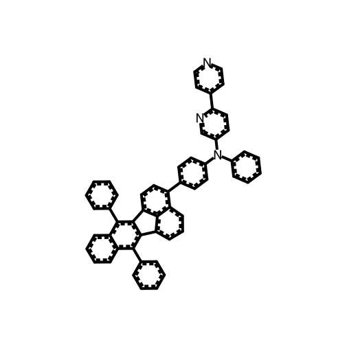 c1ccc(-c2c3c(c(-c4ccccc4)c4ccccc24)-c2ccc(-c4ccc(N(c5ccccc5)c5ccc(-c6ccncc6)nc5)cc4)c4cccc-3c24)cc1